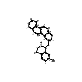 Brc1ccc2c(c1)C(Cc1ccc3ccc4c5ccccc5ccc4c3c1)NCC2